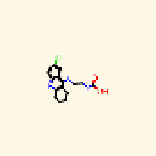 O=C(O)NCCNc1c2c(nc3ccc(Cl)cc13)CCCC2